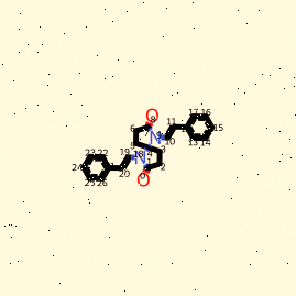 O=C1CCC2(CCC(=O)N2C=Cc2ccccc2)N1C=Cc1ccccc1